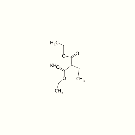 CCOC(=O)C(CC)C(=O)OCC.[KH]